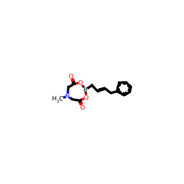 CN1CC(=O)OB(CC=CCc2ccccc2)OC(=O)C1